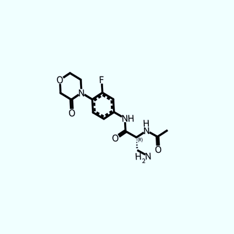 CC(=O)N[C@H](CN)C(=O)Nc1ccc(N2CCOCC2=O)c(F)c1